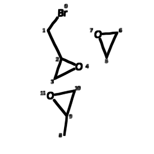 BrCC1CO1.C1CO1.CC1CO1